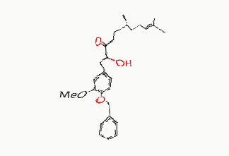 COc1cc(C[C@H](O)C(=O)CC[C@@H](C)CCC=C(C)C)ccc1OCc1ccccc1